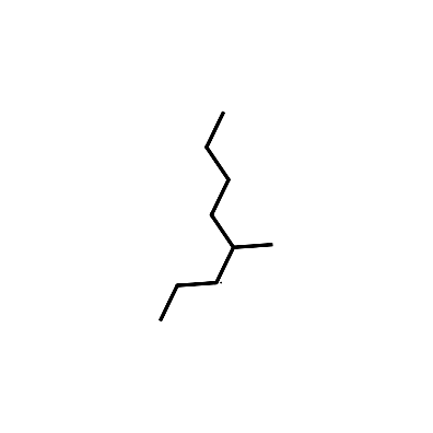 CC[CH]C(C)CCCC